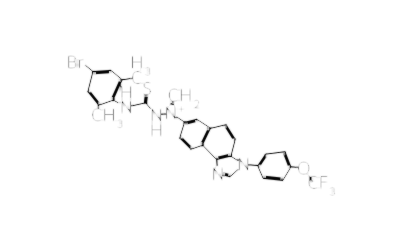 C=[N+](NC(=S)Nc1c(C)cc(Br)cc1C)c1ccc2c(ccc3c2ncn3-c2ccc(OC(F)(F)F)cc2)c1